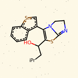 CC(C)CC(O)C1=C(c2csc3ccccc23)N2CCN=C2S1